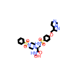 O=C(NO)[C@H](CNS(=O)(=O)c1ccc(OCc2cnn3cnccc23)cc1)N1CCN(S(=O)(=O)c2ccccc2)CC1